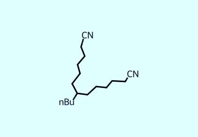 CCCCC(CCCCCC#N)CCCCCC#N